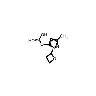 Cc1cc(OB(O)O)n(C2CCO2)n1